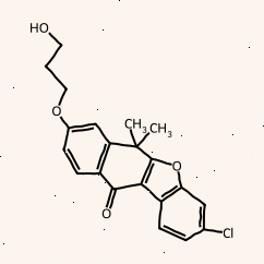 CC1(C)c2cc(OCCCO)ccc2C(=O)c2c1oc1cc(Cl)ccc21